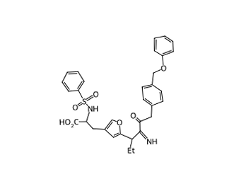 CCC(C(=N)C(=O)Cc1ccc(COc2ccccc2)cc1)c1cc(CC(NS(=O)(=O)c2ccccc2)C(=O)O)co1